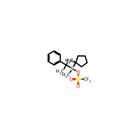 CC1([Si](C)(OS(=O)(=O)C(F)(F)F)C(C)(C)c2ccccc2)CCCC1